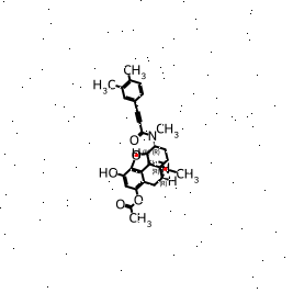 CC(=O)Oc1cc(O)c2c3c1C[C@@H]1[C@@H]4CC[C@@H](N(C)C(=O)C#Cc5ccc(C)c(C)c5)[C@H](O2)[C@]34CCN1C